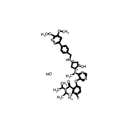 COc1cc(-c2ccc(CN[C@H]3C[C@@H](O)[C@@H](N(C)c4ncncc4Oc4ccc(F)c(F)c4C(=O)N(C(C)C)C(C)C)C3)cc2)nnc1OC.Cl